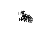 Cc1n[nH]c2c1C[C@H]1Nn3c(-c4cccc5c4Cc4ccccc4SC5)cc(=O)c(O)c3C(=O)N1C2